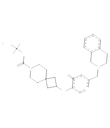 CC(C)(C)OC(=O)N1CCC2(CC1)CC(Oc1coc(CN3CCc4ccccc4C3)cc1=O)C2